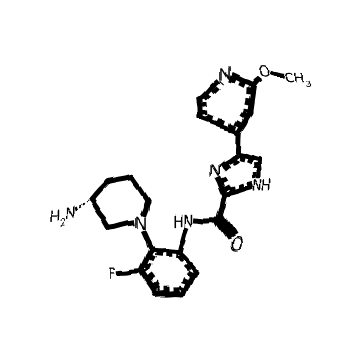 COc1cc(-c2c[nH]c(C(=O)Nc3cccc(F)c3N3CCC[C@@H](N)C3)n2)ccn1